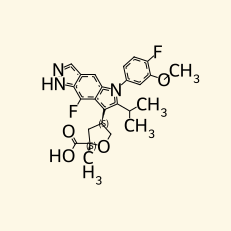 COc1cc(-n2c(C(C)C)c([C@H]3CO[C@](C)(C(=O)O)C3)c3c(F)c4[nH]ncc4cc32)ccc1F